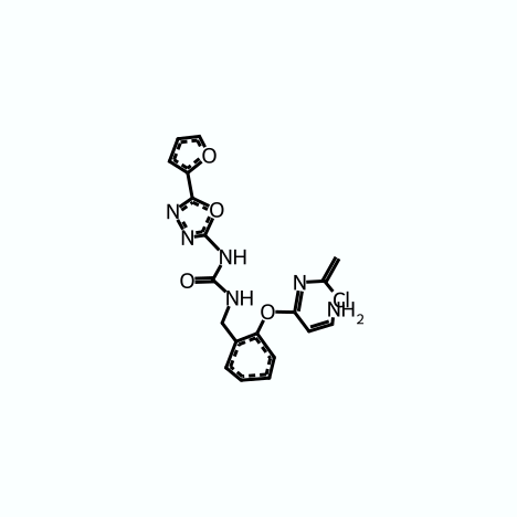 C=C(Cl)/N=C(\C=C/N)Oc1ccccc1CNC(=O)Nc1nnc(-c2ccco2)o1